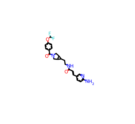 Nc1ccc(/C=C/C(=O)NCCC2C3CN(C(=O)c4ccc(OC(F)F)cc4)CC23)cn1